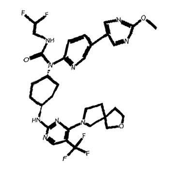 COc1ncc(-c2ccc(N(C(=O)NCC(F)F)[C@H]3CC[C@H](Nc4ncc(C(F)(F)F)c(N5CCC6(CCOC6)C5)n4)CC3)nc2)cn1